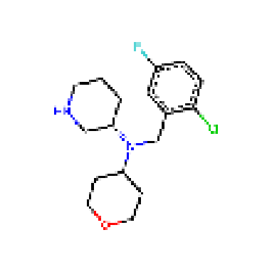 Fc1ccc(Cl)c(CN(C2CCOCC2)[C@H]2CCCNC2)c1